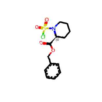 O=C(OCc1ccccc1)[C@@H]1CCCCN1S(=O)(=O)Cl